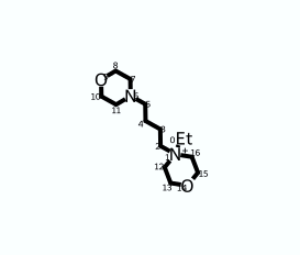 CC[N+]1(CCCCN2CCOCC2)CCOCC1